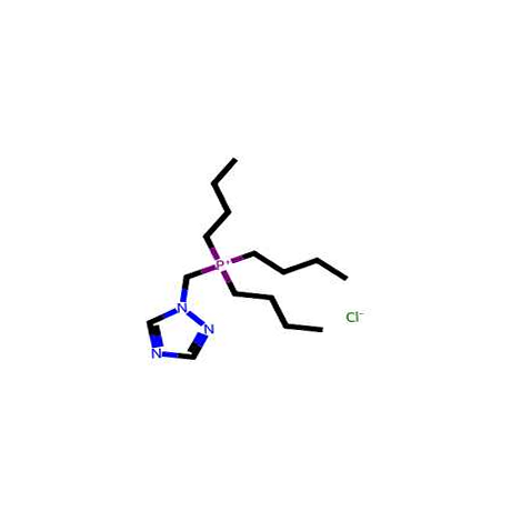 CCCC[P+](CCCC)(CCCC)Cn1cncn1.[Cl-]